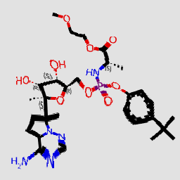 COCCOC(=O)[C@H](C)NP(=O)(OC[C@H]1O[C@@](C)(C2(C)CC=C3C(N)=NC=NN32)[C@H](O)[C@@H]1O)Oc1ccc(C(C)(C)C)cc1